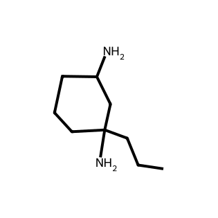 CCCC1(N)CCCC(N)C1